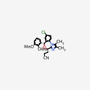 COc1cccc([C@H]2O[C@H](CCC#N)c3nc(C)c(C)n3-c3ccc(Cl)cc32)c1OC